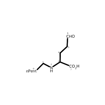 CCCCCCNC(CCC=O)C(=O)O